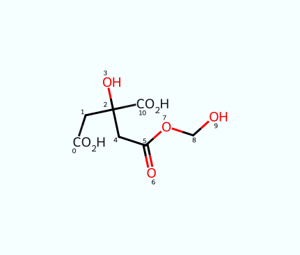 O=C(O)CC(O)(CC(=O)OCO)C(=O)O